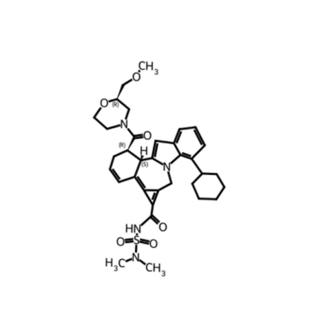 COC[C@H]1CN(C(=O)[C@@H]2CC=CC3=C4C(=C4C(=O)NS(=O)(=O)N(C)C)Cn4c(cc5cccc(C6CCCCC6)c54)[C@H]32)CCO1